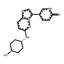 O=c1ccc(-c2cnc3ccc(N[C@H]4CC[C@H](O)CC4)nn23)c[nH]1